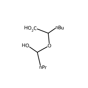 CCCCC(OC(O)CCC)C(=O)O